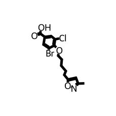 Cc1cc(CCCCCOc2c(Cl)cc(C(=O)O)cc2Br)on1